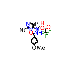 COc1ccc(C(=O)NN(CC(C)C)c2ccnc(C#N)n2)cc1.O=C(O)C(F)(F)F